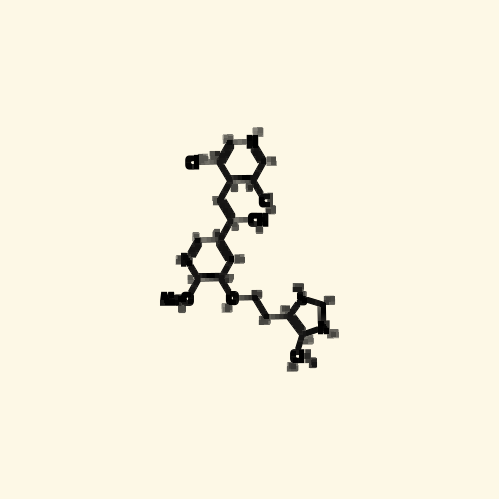 COc1ncc(/C(C#N)=C/c2c(Cl)cncc2Cl)cc1OCCc1scnc1C